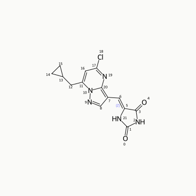 O=C1NC(=O)/C(=C/c2cnn3c(CC4CC4)cc(Cl)nc23)N1